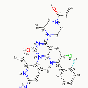 C=CC(=O)N1CCN(c2nc(=O)n(-c3c(C)cc(N)nc3C(C)C)c3nc(-c4ccccc4F)c(Cl)cc23)[C@@H](C)C1